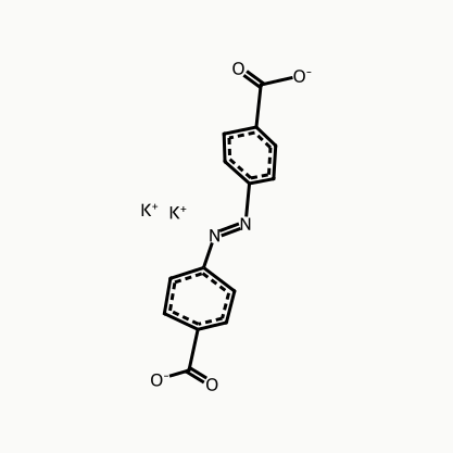 O=C([O-])c1ccc(N=Nc2ccc(C(=O)[O-])cc2)cc1.[K+].[K+]